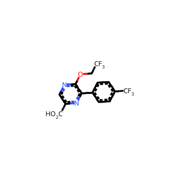 O=C(O)c1cnc(OCC(F)(F)F)c(-c2ccc(C(F)(F)F)cc2)n1